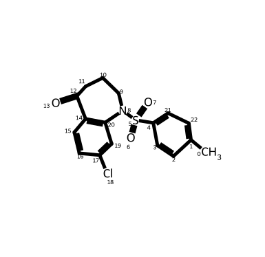 Cc1ccc(S(=O)(=O)N2CCCC(=O)c3ccc(Cl)cc32)cc1